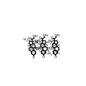 C[C@@H]1C[C@H]2[C@@H]3CCC4=CC(=O)C=C[C@]4(C)[C@@]3(F)[C@@H](O)C[C@]2(C)[C@@]1(O)C(=O)CO.C[C@H]1C[C@@H]2[C@H]([C@@H](O)C[C@@]3(C)[C@H]2CC[C@]3(O)C(=O)CO)[C@@]2(C)C=CC(=O)C=C12.C[C@]12C=CC(=O)C=C1CC[C@@H]1[C@@H]2[C@@H](O)C[C@@]2(C)[C@H]1CC[C@]2(O)C(=O)CO